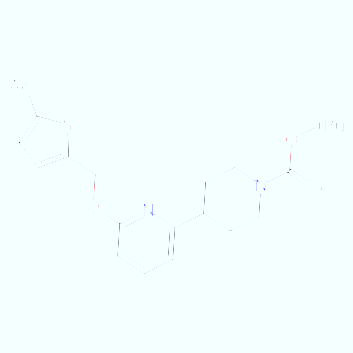 CC(=O)c1ccc(COc2cccc(C3CCN(C(=O)OC(C)(C)C)CC3)n2)s1